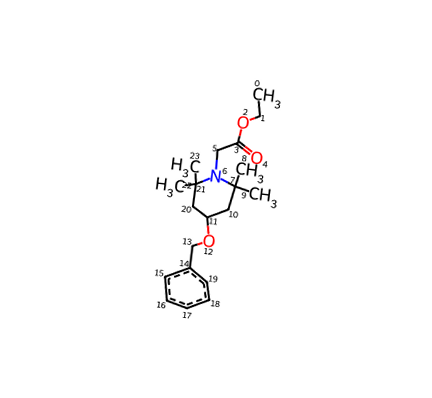 CCOC(=O)CN1C(C)(C)CC(OCc2ccccc2)CC1(C)C